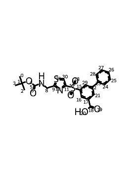 CC(C)(C)OC(=O)NCc1nc(S(=O)(=O)c2cc(C(=O)O)cc(-c3ccccc3)c2)cs1